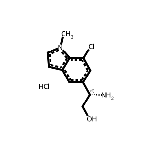 Cl.Cn1ccc2cc([C@H](N)CO)cc(Cl)c21